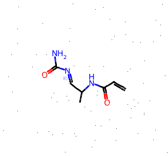 C=CC(=O)NC(C)/C=N/C(N)=O